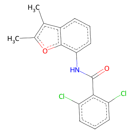 Cc1oc2c(NC(=O)c3c(Cl)cccc3Cl)cccc2c1C